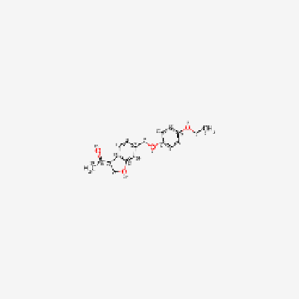 CCOc1ccc(OCc2ccc3c(c2)OCC3C(C)=O)cc1